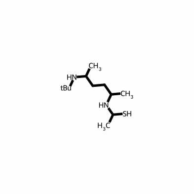 CC(S)NC(C)CCC(C)NC(C)(C)C